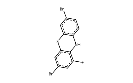 Fc1cc(Br)cc2c1Nc1ccc(Br)cc1S2